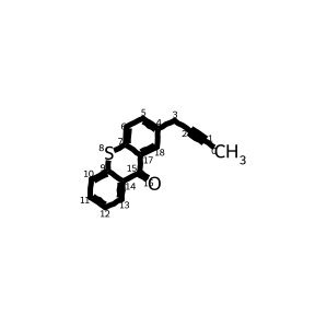 CC#CCc1ccc2sc3ccccc3c(=O)c2c1